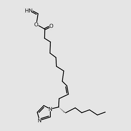 CCCCCC[C@@H](C/C=C\CCCCCCCC(=O)OC=N)n1ccnc1